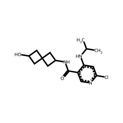 CC(C)Nc1cc(Cl)ncc1C(=O)NC1CC2(CC(O)C2)C1